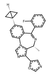 C[C@H]1N=C(c2ccccc2F)c2cc([C@]34C[C@H]3C4)ccc2-n2cnc(-c3cnco3)c21